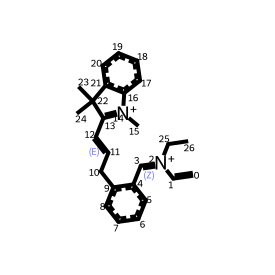 C=C/[N+](=C\c1ccccc1C/C=C/C1=[N+](C)c2ccccc2C1(C)C)CC